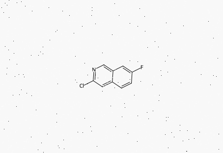 Fc1ccc2cc(Cl)ncc2c1